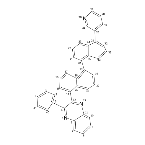 c1ccc(-c2nc3ccccc3nc2-c2cccc3c(-c4cccc5c(-c6cccnc6)cccc45)cccc23)cc1